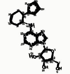 OC[C@H]1O[C@@H](n2cnc3c(N[C@@H]4CC=CC[C@H]4c4cccs4)ncnc32)[C@H](O)[C@@H]1O